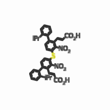 CC(C)c1ccccc1-c1ccc(Sc2ccc(-c3ccccc3C(C)C)c(C=CC(=O)O)c2[N+](=O)[O-])c([N+](=O)[O-])c1C=CC(=O)O